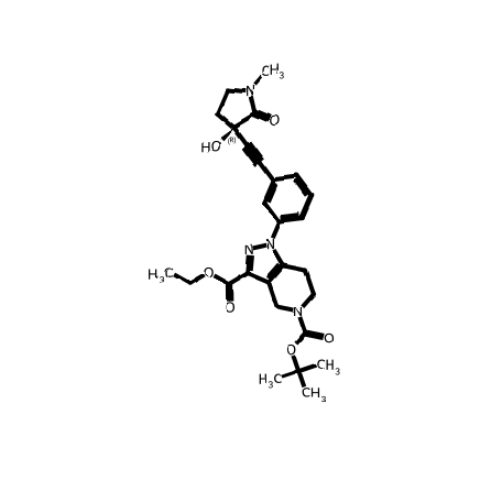 CCOC(=O)c1nn(-c2cccc(C#C[C@]3(O)CCN(C)C3=O)c2)c2c1CN(C(=O)OC(C)(C)C)CC2